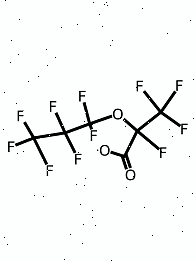 [O]C(=O)C(F)(OC(F)(F)C(F)(F)C(F)(F)F)C(F)(F)F